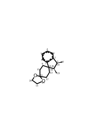 C[C@@H]1c2ccccc2C2(CCC3(CC2)OCCO3)[C@@H]1C